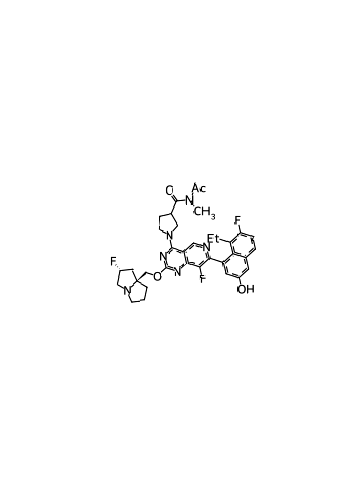 CCc1c(F)ccc2cc(O)cc(-c3ncc4c(N5CCC(C(=O)N(C)C(C)=O)C5)nc(OC[C@@]56CCCN5C[C@H](F)C6)nc4c3F)c12